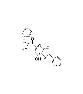 O=C(O)C(OC1=CC=CCC1)c1cc(O)c(SCc2ccccc2)c(=O)o1